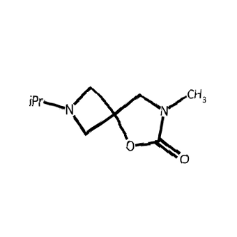 CC(C)N1CC2(CN(C)C(=O)O2)C1